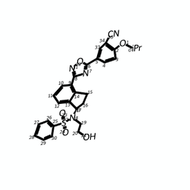 CC(C)Oc1ccc(-c2nc(-c3cccc4c3CC[C@H]4N(CCO)S(=O)(=O)c3ccccc3)no2)cc1C#N